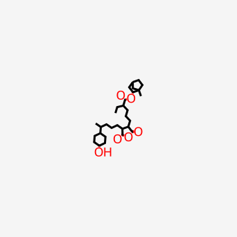 CCC(CCCC1C(=O)OC(=O)C1CCCC(C)C1CCC(O)CC1)C(=O)OC1CC2CCC1(C)C2